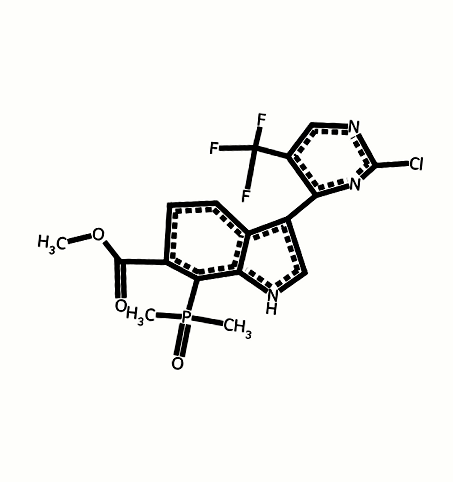 COC(=O)c1ccc2c(-c3nc(Cl)ncc3C(F)(F)F)c[nH]c2c1P(C)(C)=O